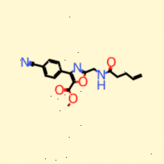 C=CCCC(=O)NCc1nc(-c2ccc(C#N)cc2)c(C(=O)OC)o1